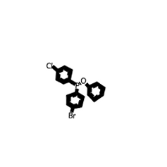 Clc1ccc(P(Oc2ccccc2)c2ccc(Br)cc2)cc1